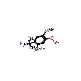 CCCOc1cc(OC)c(C(C)(C)N)cc1OC